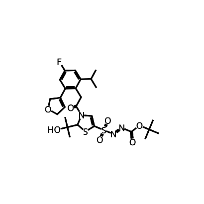 CC(C)c1cc(F)cc(C2=CCOC2)c1CC(=O)N1C=C(S(=O)(=O)N=NC(=O)OC(C)(C)C)SC1C(C)(C)O